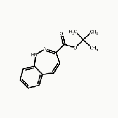 CC(C)(C)OC(=O)C1=NNc2ccccc2C=C1